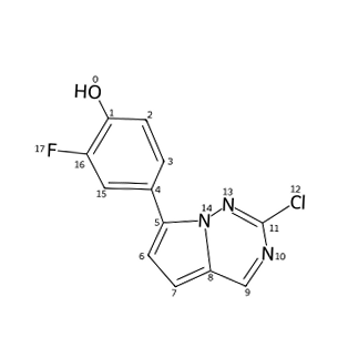 Oc1ccc(-c2ccc3cnc(Cl)nn23)cc1F